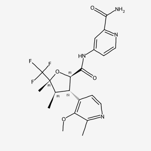 COc1c([C@@H]2[C@@H](C)[C@](C)(C(F)(F)F)O[C@H]2C(=O)Nc2ccnc(C(N)=O)c2)ccnc1C